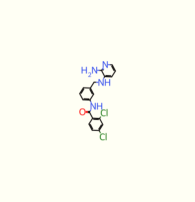 Nc1ncccc1NCc1cccc(NC(=O)c2ccc(Cl)cc2Cl)c1